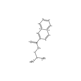 CCCC(CCC)COC(=O)c1ccc2ccccc2c1